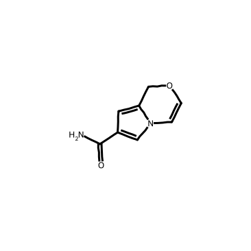 NC(=O)c1cc2n(c1)C=COC2